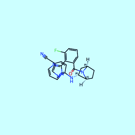 N#Cc1ccc(N[C@@H]2C[C@H]3CC[C@@H]2N3C(=O)c2cccc(F)c2-c2ncccn2)nc1